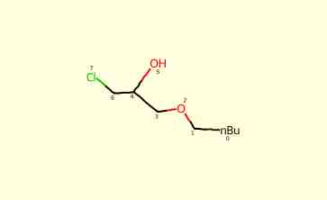 CCCCCOCC(O)CCl